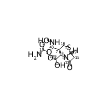 NC(=O)OC(NO)C1=C(C(=O)O)N2C(=O)C[C@@H]2SC1